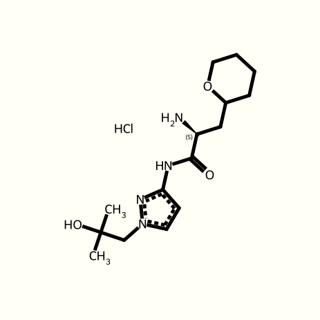 CC(C)(O)Cn1ccc(NC(=O)[C@@H](N)CC2CCCCO2)n1.Cl